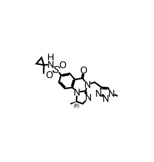 C[C@@H]1CN=C2N(Cc3cn(C)nn3)C(=O)c3cc(S(=O)(=O)NC4(C)CC4)ccc3N21